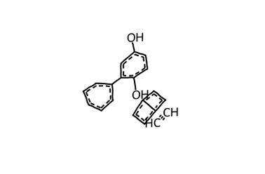 C#C.Oc1ccc(O)c(-c2ccccc2)c1.c1cc2ccc1-2